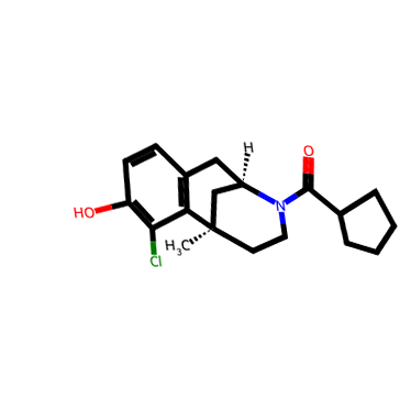 C[C@]12CCN(C(=O)C3CCCC3)[C@H](Cc3ccc(O)c(Cl)c31)C2